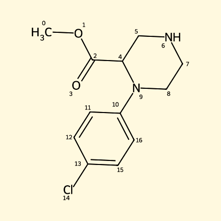 COC(=O)C1CNCCN1c1ccc(Cl)cc1